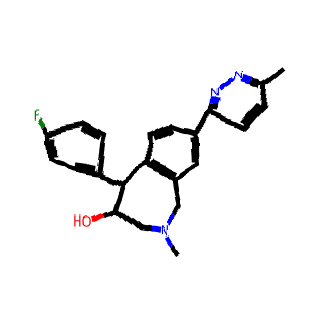 Cc1ccc(-c2ccc3c(c2)CN(C)CC(O)C3c2ccc(F)cc2)nn1